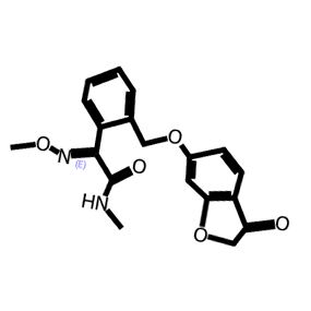 CNC(=O)/C(=N/OC)c1ccccc1COc1ccc2c(c1)OCC2=O